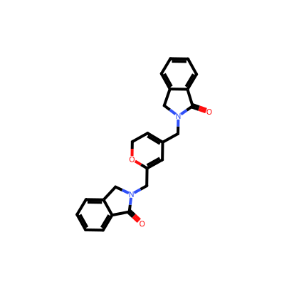 O=C1c2ccccc2CN1CC1=CCOC(CN2Cc3ccccc3C2=O)=C1